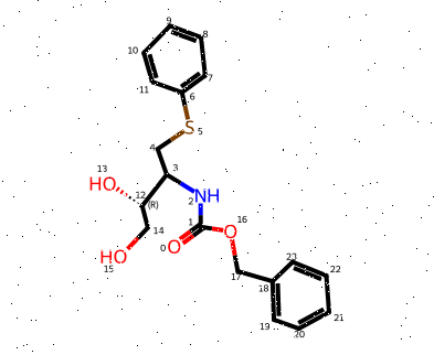 O=C(NC(CSc1ccccc1)[C@@H](O)CO)OCc1ccccc1